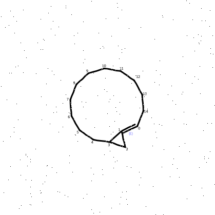 C1=C2\CC2CCCCCCCCCCC/1